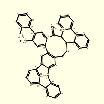 C=C1C2C(CCc3cc4c(cc3-c3cc(C)c(-c5ccccc5C)c[n+]31)c1cccc3c5ccccc5n4c31)c1ccccc1-c1cccc[n+]12